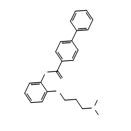 CN(C)CCCOc1ccccc1NC(=O)c1ccc(-c2ccccc2)cc1